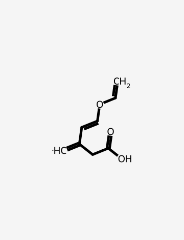 [CH]=C(C=COC=C)CC(=O)O